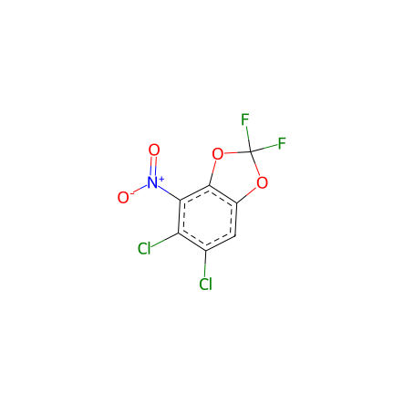 O=[N+]([O-])c1c(Cl)c(Cl)cc2c1OC(F)(F)O2